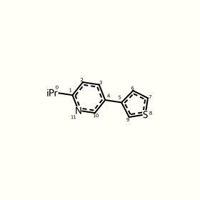 CC(C)c1ccc(-c2ccsc2)cn1